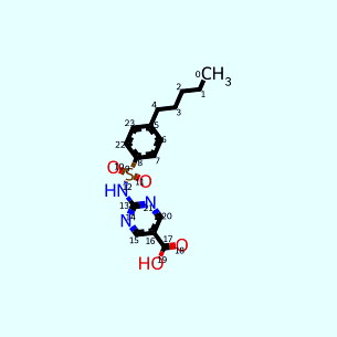 CCCCCc1ccc(S(=O)(=O)Nc2ncc(C(=O)O)cn2)cc1